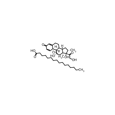 CCCCCCCCCCCCCCCC(=O)O.C[C@H]1C[C@H]2[C@@H]3CCC4=CC(=O)C=C[C@]4(C)[C@@]3(F)[C@@H](O)C[C@]2(C)[C@@]1(O)C(=O)CO